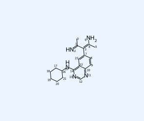 CC(=N)/C(=C(/C)N)c1ccc2ncnc(NC3CCCCC3)c2c1